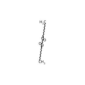 CCCCCCCCCCC=COC(=O)CCC(=O)OC=CCCCCCCCCCC